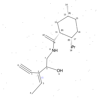 C#C/C(=C\C)C(O)CNC(=C)[C@@H]1C[C@H](C)CC[C@@H]1C(C)C